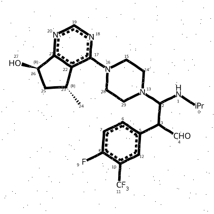 CC(C)NC(C(C=O)c1ccc(F)c(C(F)(F)F)c1)N1CCN(c2ncnc3c2[C@H](C)C[C@H]3O)CC1